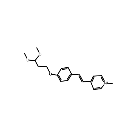 COC(CCOc1ccc(/C=C/c2cc[n+](C)cc2)cc1)OC